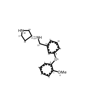 COc1ccccc1Oc1cccc(CN[C@@H]2CCNC2)c1